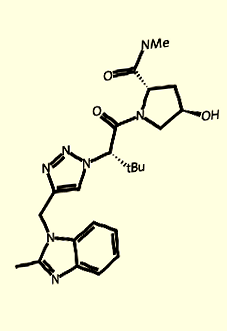 CNC(=O)[C@@H]1C[C@@H](O)CN1C(=O)[C@@H](n1cc(Cn2c(C)nc3ccccc32)nn1)C(C)(C)C